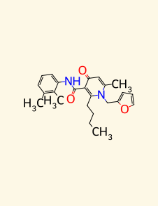 CCCCc1c(C(=O)Nc2cccc(C)c2C)c(=O)cc(C)n1Cc1ccco1